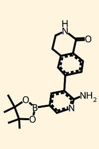 CC1(C)OB(c2cnc(N)c(-c3ccc4c(c3)CCNC4=O)c2)OC1(C)C